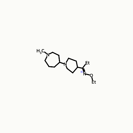 CCO/N=C(\CC)C1CCN(C2CCCN(C)CC2)CC1